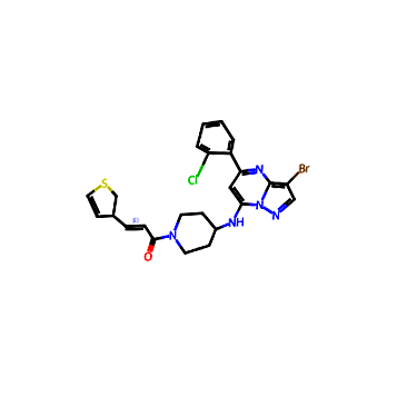 O=C(/C=C/C1C=CSC1)N1CCC(Nc2cc(-c3ccccc3Cl)nc3c(Br)cnn23)CC1